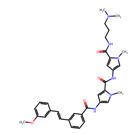 COc1cccc(/C=C/c2cccc(C(=O)Nc3cc(C(=O)Nc4cc(C(=O)NCCCN(C)C)n(C)c4)n(C)c3)c2)c1